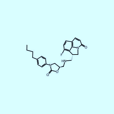 CCCCc1ccc(N2C[C@@H](CNC[C@H]3Cn4c(=O)ccc5ccc(F)c3c54)OC2=O)cc1